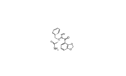 CCCN(C(=O)c1cccc2c1OCO2)[C@H](CC(N)=O)Cc1ccccc1